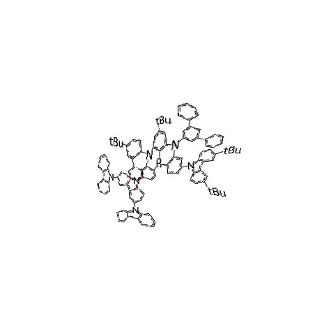 CC(C)(C)c1ccc(N2c3cc(-n4c5ccc(-n6c7ccccc7c7ccccc76)cc5c5cc(-n6c7ccccc7c7ccccc76)ccc54)ccc3B3c4ccc(-n5c6ccc(C(C)(C)C)cc6c6cc(C(C)(C)C)ccc65)cc4N(c4cc(-c5ccccc5)cc(-c5ccccc5)c4)c4cc(C(C)(C)C)cc2c43)c(-c2ccccc2)c1